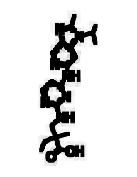 CCC(C)(CNc1nccc(Nc2cc3c(cn2)nc(C)n3C(C)C)n1)C(=O)O